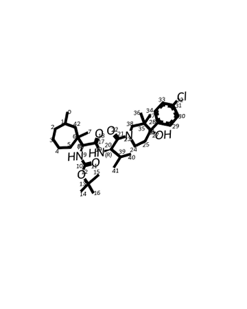 CC1CCCCC(C)([C@H](NC(=O)OC(C)(C)C)C(=O)N[C@@H](C(=O)N2CC[C@](O)(c3ccc(Cl)cc3)C(C)(C)C2)C(C)C)C1